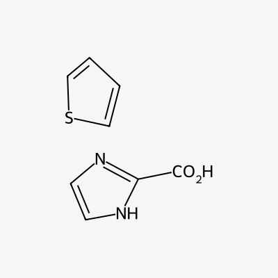 O=C(O)c1ncc[nH]1.c1ccsc1